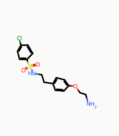 NCCOc1ccc(CCNS(=O)(=O)c2ccc(Cl)cc2)cc1